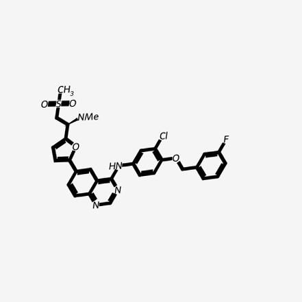 CN[C@H](CS(C)(=O)=O)c1ccc(-c2ccc3ncnc(Nc4ccc(OCc5cccc(F)c5)c(Cl)c4)c3c2)o1